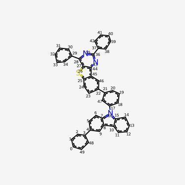 c1ccc(-c2ccc3c(c2)c2ccccc2n3-c2cccc(-c3ccc4sc5c(-c6ccccc6)nc(-c6ccccc6)nc5c4c3)c2)cc1